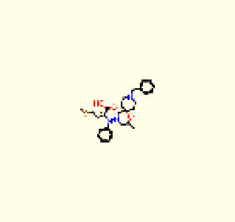 CSCC[C@@H](C(=O)O)N(c1ccccc1)N1CC(C)OC2(CCN(Cc3ccccc3)CC2)C1